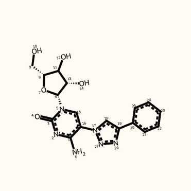 Nc1nc(=O)n([C@@H]2O[C@H](CO)C(O)[C@@H]2O)cc1-n1cc(-c2ccccc2)nn1